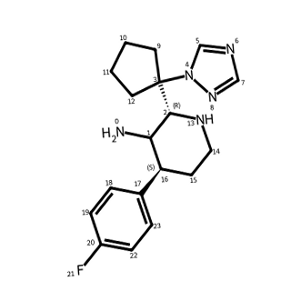 NC1[C@H](C2(n3cncn3)CCCC2)NCC[C@H]1c1ccc(F)cc1